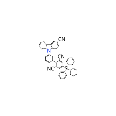 N#Cc1ccc2c(c1)c1ccccc1n2-c1cccc(-c2c(C#N)cc([Si](c3ccccc3)(c3ccccc3)c3ccccc3)cc2C#N)c1